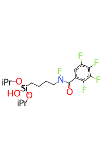 CC(C)O[Si](O)(CCCCN(F)C(=O)c1cc(F)c(F)c(F)c1F)OC(C)C